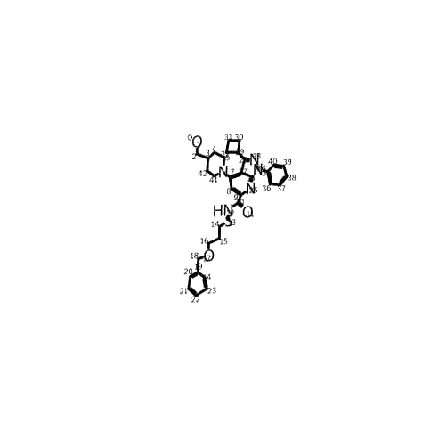 COCC1CCN(c2cc(C(=O)NSCCCOCc3ccccc3)nc3c2c(C2CCC2)nn3-c2ccccc2)CC1